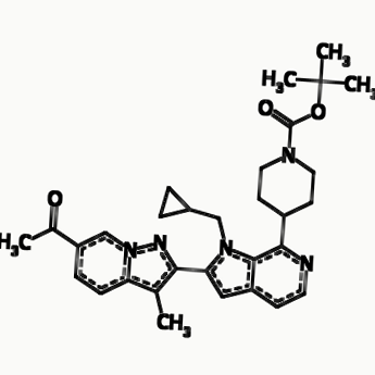 CC(=O)c1ccc2c(C)c(-c3cc4ccnc(C5CCN(C(=O)OC(C)(C)C)CC5)c4n3CC3CC3)nn2c1